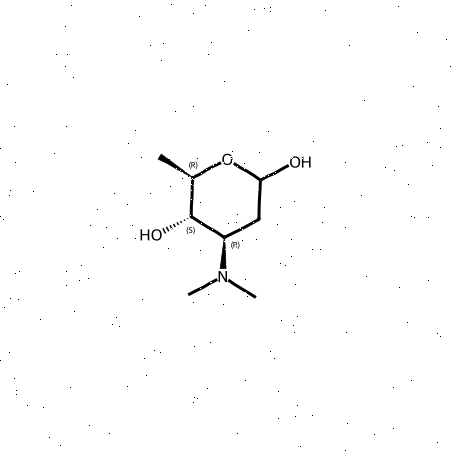 C[C@H]1OC(O)C[C@@H](N(C)C)[C@@H]1O